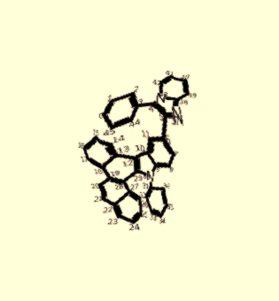 c1ccc(-c2c(-c3ccc4c(c3)c3c5ccccc5c5ccc6ccccc6c5c3n4-c3ccccc3)nc3ccccn23)cc1